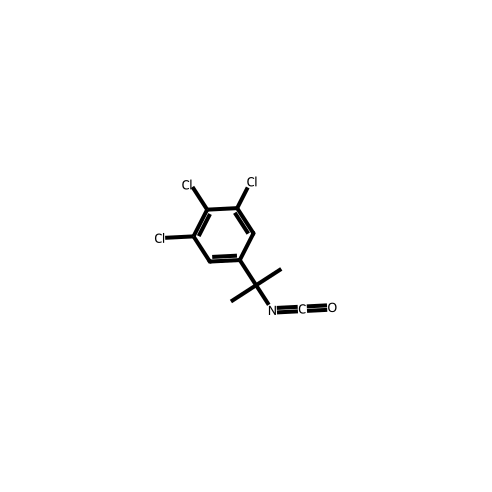 CC(C)(N=C=O)c1cc(Cl)c(Cl)c(Cl)c1